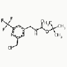 CC(C)(C)OC(=O)NCc1cc(CCl)nc(C(F)(F)F)c1